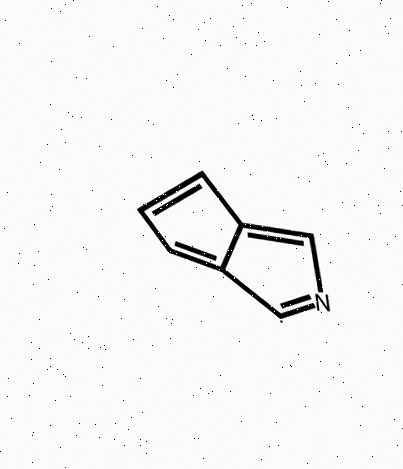 [C]1=NC=C2C=CC=C12